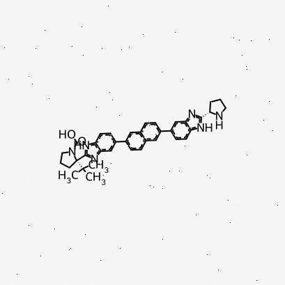 CC(C)(C)[C@]1(c2nc3cc(-c4ccc5cc(-c6ccc7[nH]c([C@@H]8CCCN8)nc7c6)ccc5c4)ccc3[nH]2)CCCN1C(=O)O